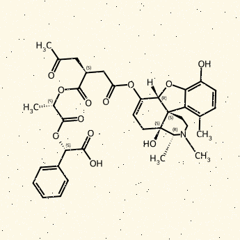 CC(=O)C[C@@H](CC(=O)OC1=CC[C@@]2(O)[C@@H](C)N(C)CC[C@@]23c2c(C)ccc(O)c2O[C@@H]13)C(=O)O[C@@H](C)C(=O)O[C@H](C(=O)O)c1ccccc1